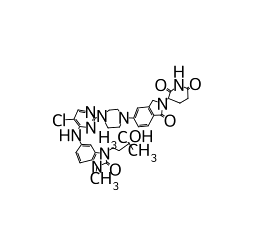 Cn1c(=O)n(CCC(C)(C)O)c2cc(Nc3nc(N4CCN(c5ccc6c(c5)CN(C5CCC(=O)NC5=O)C6=O)CC4)ncc3Cl)ccc21